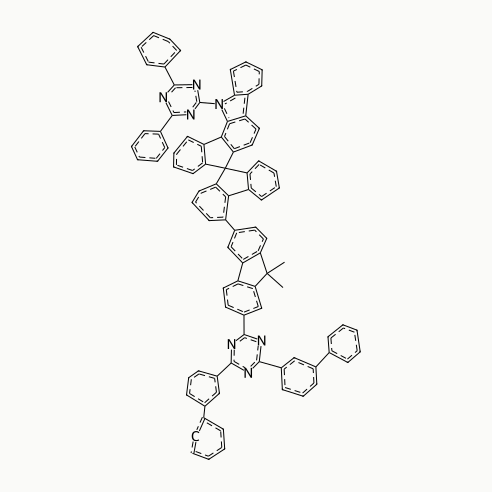 CC1(C)c2ccc(-c3cccc4c3-c3ccccc3C43c4ccccc4-c4c3ccc3c5ccccc5n(-c5nc(-c6ccccc6)nc(-c6ccccc6)n5)c43)cc2-c2ccc(-c3nc(-c4cccc(-c5ccccc5)c4)nc(-c4cccc(-c5ccccc5)c4)n3)cc21